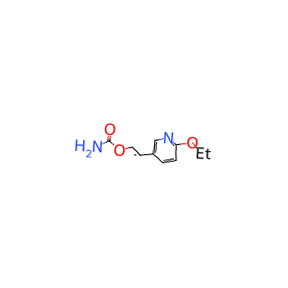 CCOc1ccc([CH]COC(N)=O)cn1